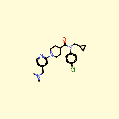 CN(C)Cc1ccnc(N2CCC(C(=O)N(CC3CC3)c3ccc(Cl)cc3)CC2)c1